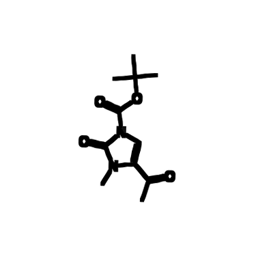 CC(=O)c1cn(C(=O)OC(C)(C)C)c(=O)n1C